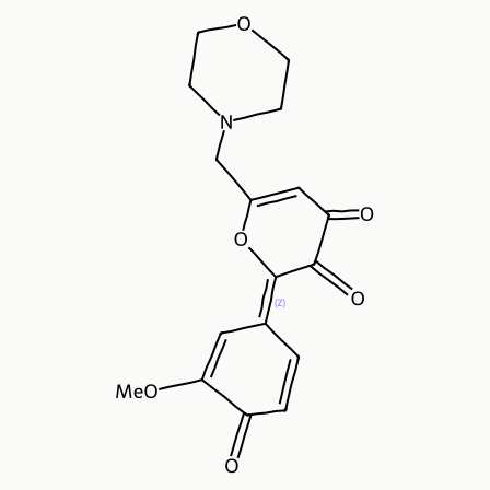 COC1=C/C(=C2\OC(CN3CCOCC3)=CC(=O)C2=O)C=CC1=O